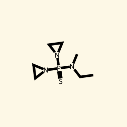 CCN(C)P(=S)(N1CC1)N1CC1